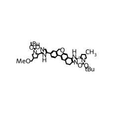 COCC1CC(c2ncc(-c3ccc4c(c3)COc3cc5c(cc3-4)CCc3nc([C@@H]4CC(C)CN4C(=O)OC(C)(C)C)[nH]c3-5)[nH]2)N(C(=O)OC(C)(C)C)C1